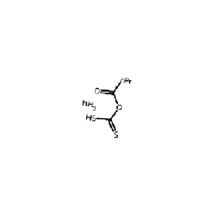 CCCC(=O)OC(=S)S.N